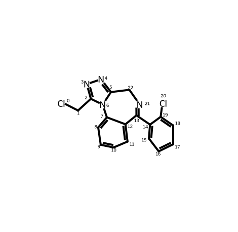 ClCc1nnc2n1-c1ccccc1C(c1ccccc1Cl)=NC2